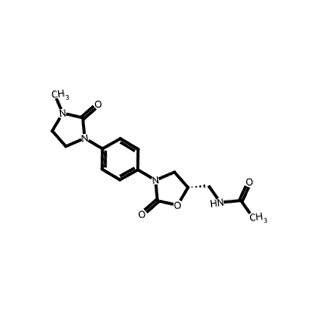 CC(=O)NC[C@H]1CN(c2ccc(N3CCN(C)C3=O)cc2)C(=O)O1